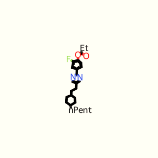 CCCCCC1CCC(CCc2cnc(-c3ccc(OC(=O)CC)c(F)c3)nc2)CC1